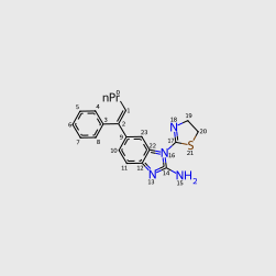 CCCC=C(c1ccccc1)c1ccc2nc(N)n(C3=NCCS3)c2c1